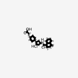 C[C@@H](N[C@H]1CC[C@@H](c2ccc(SCC(=O)O)cc2)C1)c1ccc(F)c2ccccc12.Cl